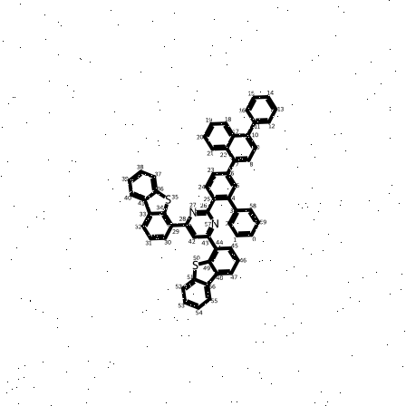 c1ccc(-c2cc(-c3ccc(-c4ccccc4)c4ccccc34)ccc2-c2nc(-c3cccc4c3sc3ccccc34)cc(-c3cccc4c3sc3ccccc34)n2)cc1